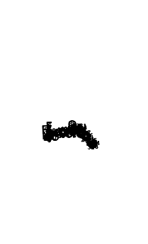 O=C(C[C@@H](C(F)F)n1cccn1)N1CCC(O)(Cn2cnc3c(cnn3-c3ccc(N4CCCCC4)cc3)c2=O)CC1